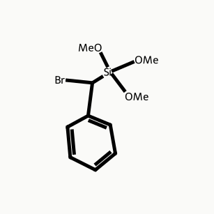 CO[Si](OC)(OC)C(Br)c1ccccc1